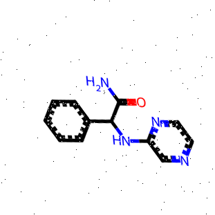 NC(=O)C(Nc1cnccn1)c1ccccc1